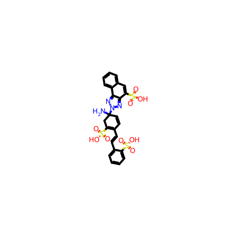 NC1(n2nc3c(S(=O)(=O)O)cc4ccccc4c3n2)C=CC(C=Cc2ccccc2S(=O)(=O)O)=C(S(=O)(=O)O)C1